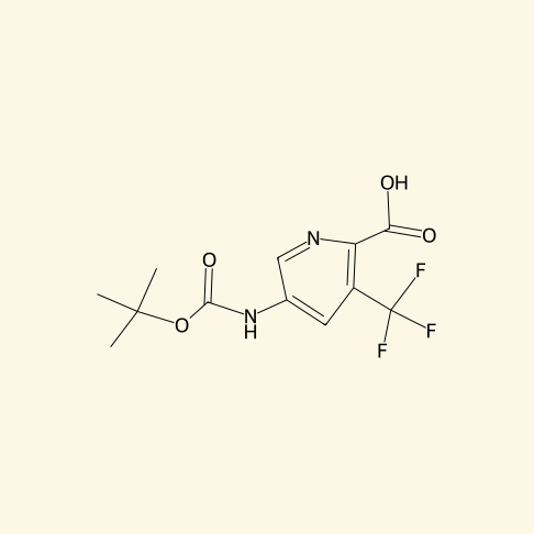 CC(C)(C)OC(=O)Nc1cnc(C(=O)O)c(C(F)(F)F)c1